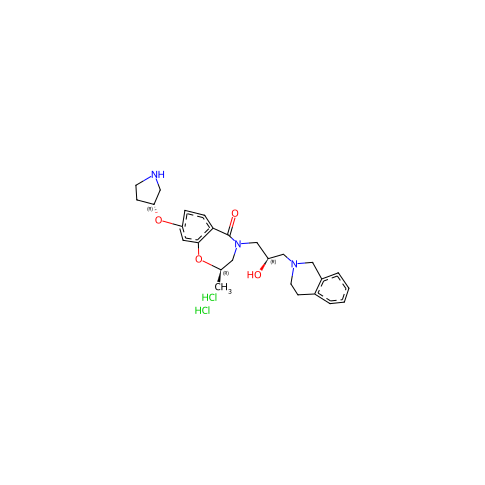 C[C@@H]1CN(C[C@H](O)CN2CCc3ccccc3C2)C(=O)c2ccc(O[C@@H]3CCNC3)cc2O1.Cl.Cl